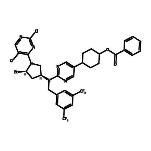 CC[C@@H]1C[C@H](N(Cc2cc(C(F)(F)F)cc(C(F)(F)F)c2)c2ncc(C3CCC(OC(=O)c4ccccc4)CC3)cn2)CN1c1nc(Cl)ncc1Cl